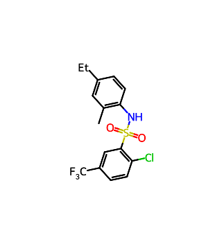 CCc1ccc(NS(=O)(=O)c2cc(C(F)(F)F)ccc2Cl)c(C)c1